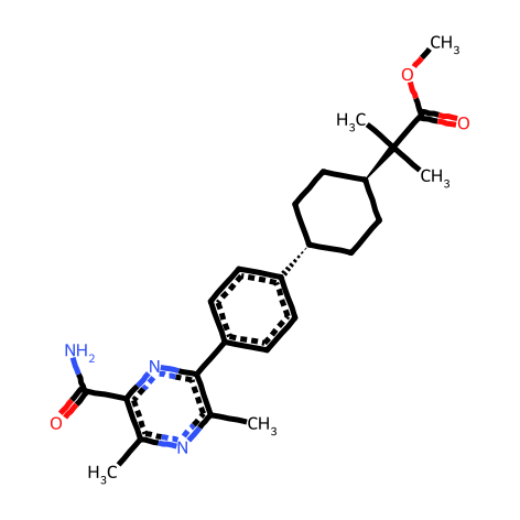 COC(=O)C(C)(C)[C@H]1CC[C@H](c2ccc(-c3nc(C(N)=O)c(C)nc3C)cc2)CC1